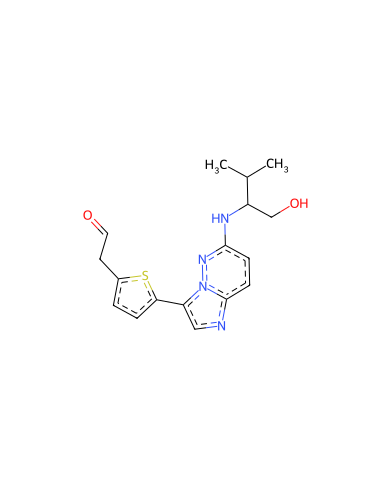 CC(C)C(CO)Nc1ccc2ncc(-c3ccc(CC=O)s3)n2n1